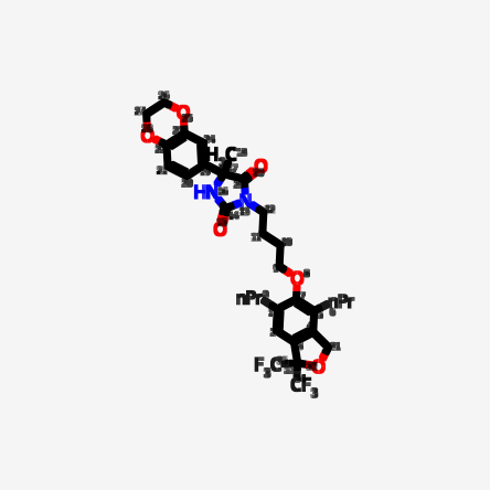 CCCc1cc2c(c(CCC)c1OCCCCN1C(=O)NC(C)(c3ccc4c(c3)OCCO4)C1=O)COC2(C(F)(F)F)C(F)(F)F